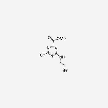 COC(=O)c1cc(NCCC(C)C)nc(Cl)n1